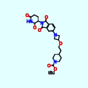 CC(C)(C)OC(=O)N1CCC(CCOC2CN(c3ccc4c(c3)C(=O)N(C3CCC(=O)NC3=O)C4=O)C2)CC1